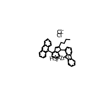 CCCCC1=Cc2c(-c3c4ccccc4cc4ccccc34)cccc2C1c1cccc2c1[CH]([Zr+2][SiH](C)C)c1ccccc1-2.[Cl-].[Cl-]